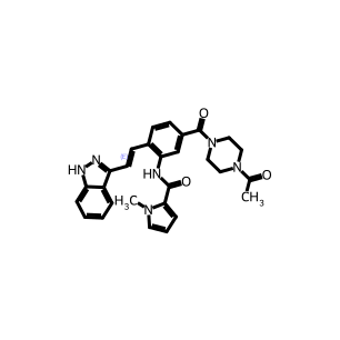 CC(=O)N1CCN(C(=O)c2ccc(/C=C/c3n[nH]c4ccccc34)c(NC(=O)c3cccn3C)c2)CC1